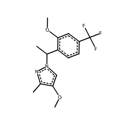 COc1cc(C(F)(F)F)ccc1C(C)n1cc(OC)c(C)n1